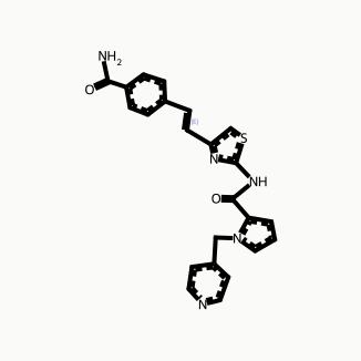 NC(=O)c1ccc(/C=C/c2csc(NC(=O)c3cccn3Cc3ccncc3)n2)cc1